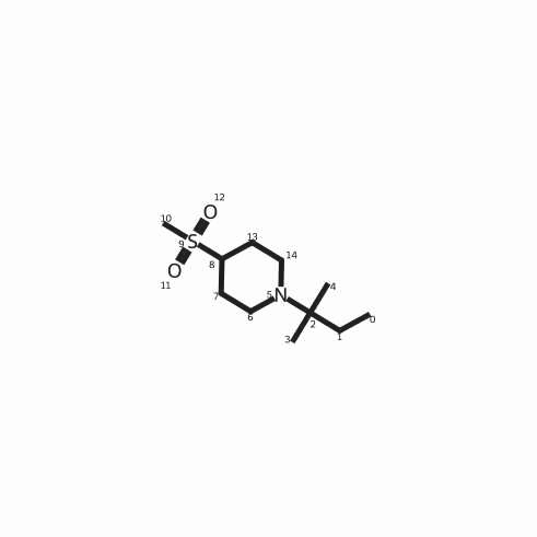 CCC(C)(C)N1CCC(S(C)(=O)=O)CC1